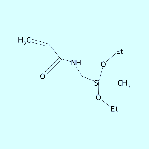 C=CC(=O)NC[Si](C)(OCC)OCC